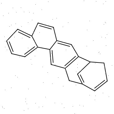 C1=CC2=CC(C1)c1cc3ccc4ccccc4c3cc1C2